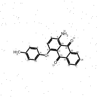 Cc1ccc(Oc2ccc(N)c3c2C(=O)c2ccccc2C3=O)cc1